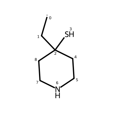 [CH2]CC1(S)CCNCC1